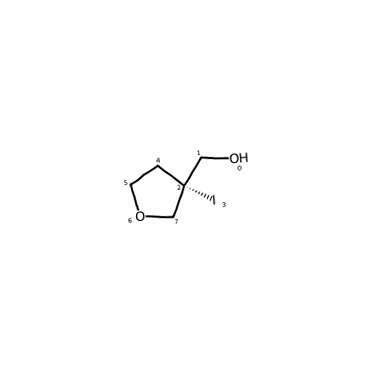 OC[C@]1(I)CCOC1